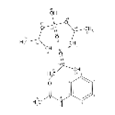 CC(=O)Nc1ccccc1.CC(=O)O.CC(C)OP(=O)(O)OC(C)C